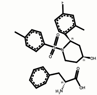 Cc1ccc(S(=O)(=O)N2CC[C@H](O)C[C@@H]2c2ccc(F)cc2C)cc1.N[C@H](Cc1ccccc1)C(=O)O